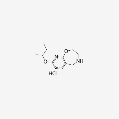 CC[C@@H](C)Oc1ccc2c(n1)OCCNC2.Cl